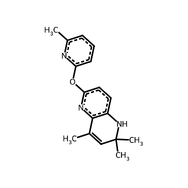 CC1=CC(C)(C)Nc2ccc(Oc3cccc(C)n3)nc21